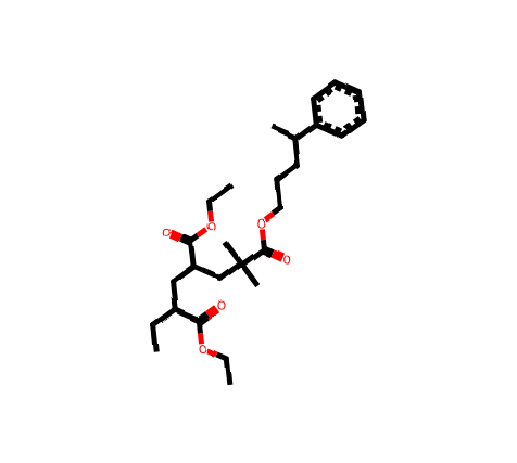 CCOC(=O)C(CC)CC(CC(C)(C)C(=O)OCCCC(C)c1ccccc1)C(=O)OCC